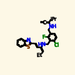 C=C=C(NCc1ccc(Cl)c(CNC(/C=C/c2nc3ccccc3s2)=C/CC)c1F)C(C)C